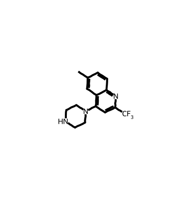 Cc1ccc2nc(C(F)(F)F)cc(N3CCNCC3)c2c1